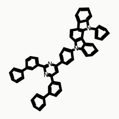 c1ccc(-c2cccc(-c3cc(-c4ccc(-n5c6ccccc6c6c5ccc5c7ccccc7n(-c7ccccc7)c56)cc4)nc(-c4cccc(-c5ccccc5)c4)n3)c2)cc1